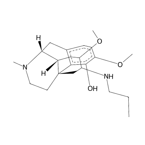 CCCNC1C[C@]23CCN(C)[C@H](Cc4ccc(OC)c(O)c42)[C@@H]3CC1OC